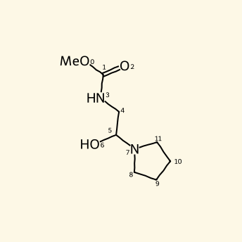 COC(=O)NCC(O)N1CCCC1